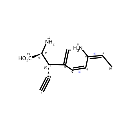 C#C[C@@H](C(=C)/C=C\C(N)=C/C)[C@H](N)C(=O)O